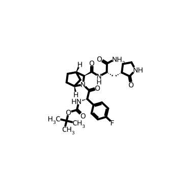 CC(C)(C)OC(=O)N[C@H](C(=O)N1[C@@H]2CC[C@@H](C2)[C@H]1C(=O)N[C@@H](C[C@@H]1CCNC1=O)C(N)=O)c1ccc(F)cc1